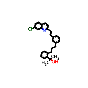 CC(C)(O)c1ccccc1CC[CH]c1cccc(C=Cc2ccc3ccc(Cl)cc3n2)c1